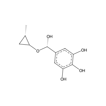 C[C@H]1CC1O[C@H](O)c1cc(O)c(O)c(O)c1